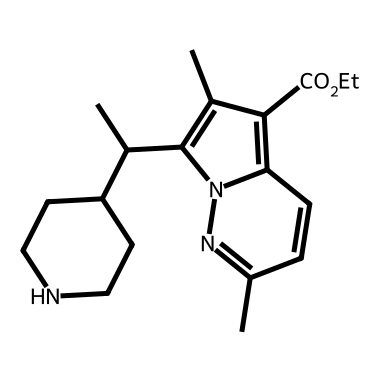 CCOC(=O)c1c(C)c(C(C)C2CCNCC2)n2nc(C)ccc12